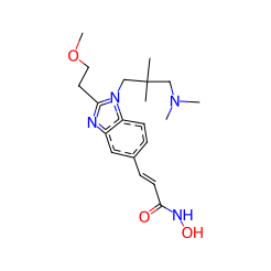 COCCc1nc2cc(/C=C/C(=O)NO)ccc2n1CC(C)(C)CN(C)C